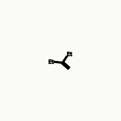 [CH2]CC(=C)CC